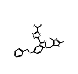 Cc1nc(C)c(Cn2nc(-c3nnc(C(F)F)s3)c3cc(SCc4ccccc4)ccc32)s1